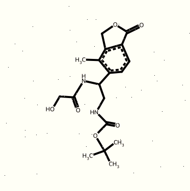 Cc1c(C(CNC(=O)OC(C)(C)C)NC(=O)CO)ccc2c1COC2=O